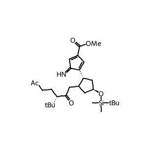 COC(=O)C1=CC(=N)C([C@@H]2C[C@@H](O[Si](C)(C)C(C)(C)C)CC2CC(=O)[C@@H](CCC(C)=O)C(C)(C)C)=C1